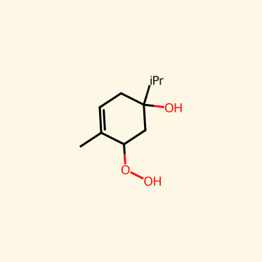 CC1=CCC(O)(C(C)C)CC1OO